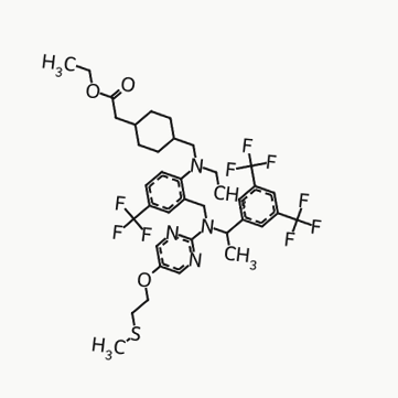 CCOC(=O)CC1CCC(CN(CC)c2ccc(C(F)(F)F)cc2CN(c2ncc(OCCSC)cn2)C(C)c2cc(C(F)(F)F)cc(C(F)(F)F)c2)CC1